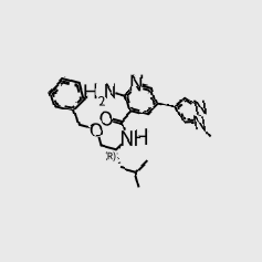 CC(C)C[C@H](COCc1ccccc1)NC(=O)c1cc(-c2cnn(C)c2)cnc1N